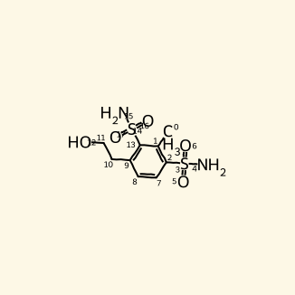 Cc1c(S(N)(=O)=O)ccc(CCO)c1S(N)(=O)=O